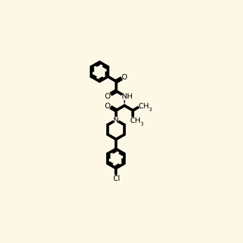 CC(C)[C@@H](NC(=O)C(=O)c1ccccc1)C(=O)N1CCC(c2ccc(Cl)cc2)CC1